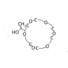 C=C(O)C1COCCOCCOCCOCCOCCO1